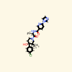 CC(C)[C@@H](NC(=O)c1ccc(-n2ccnc2)nc1)C(=O)N1CC[C@](O)(c2ccc(Cl)cc2)C(C)(C)C1